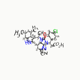 Cc1cc(C)c2c(C(C)n3c(=O)n([C@H](CC(=O)O)c4ccc(Cl)cc4)c4nc(C#N)ccc43)c[nH]c2c1